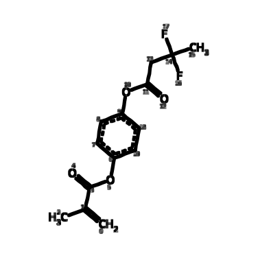 C=C(C)C(=O)Oc1ccc(OC(=O)CC(C)(F)F)cc1